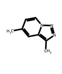 Cc1ccn2nnc(C)c2c1